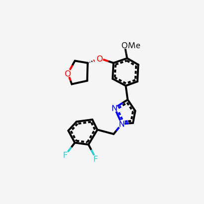 COc1ccc(-c2ccn(Cc3cccc(F)c3F)n2)cc1O[C@@H]1CCOC1